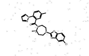 Cc1ccc(-n2cccn2)c(C(=O)N2CCN(c3nc4cc(Cl)ccc4o3)CC[C@H]2C)c1